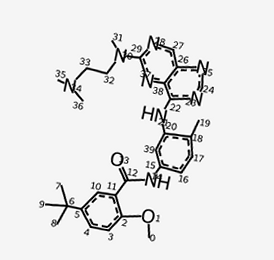 COc1ccc(C(C)(C)C)cc1C(=O)Nc1ccc(C)c(Nc2ncnc3cnc(N(C)CCN(C)C)nc23)c1